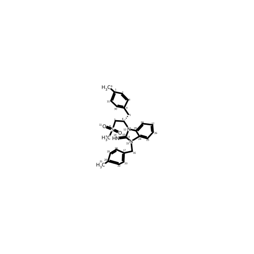 Cc1ccc(C[C@@H](CS(C)(=O)=O)n2c(=N)n(Cc3ccc(C)cc3)c3ccccc32)cc1